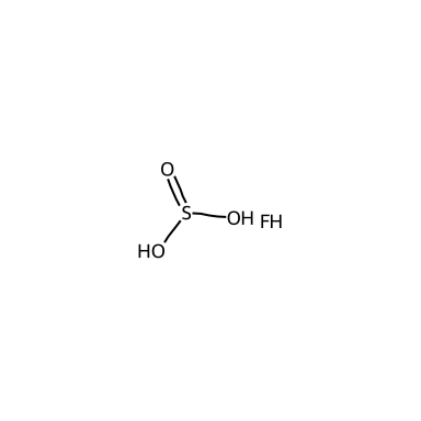 F.O=S(O)O